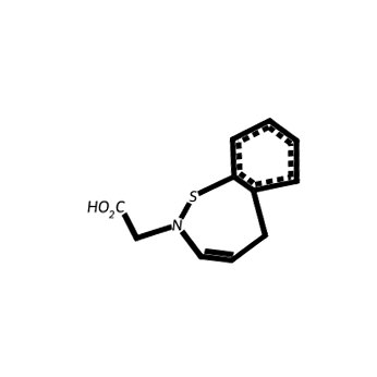 O=C(O)CN1C=CCc2ccccc2S1